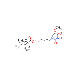 CCC(C)(CC(C)C)C(=O)OCCCCCCn1cc(OC)c(=O)[nH]c1=O